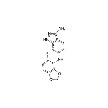 Nc1n[nH]c2nc(Nc3c(F)ccc4c3OCO4)ccc12